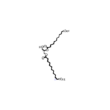 CCCCCCCC/C=C\CCCCCCCCCC(=O)OC[C@H](CO)OC(=O)CCCCCCCCCCCCCCCCCCCC